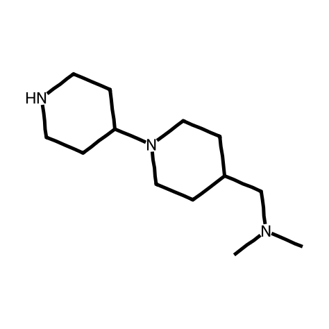 CN(C)CC1CCN(C2CCNCC2)CC1